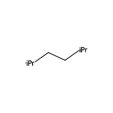 C[C](C)CCC(C)C